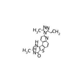 C=Cc1nnc(C)n1-c1ccc2c(ccc3sc4c(c32)NC[C@@H](C)NC4=O)n1